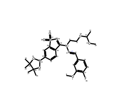 COc1cc(/C=N/N(CCOC(C)OC)C2=NS(=O)(=O)c3cc(B4OC(C)(C)C(C)(C)O4)ccc32)ccc1F